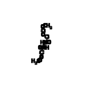 COCOc1ccc(C(=O)NCCNC(=O)c2cccc(Oc3ccc(OC)cc3)c2)cc1